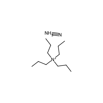 C#N.CCC[N+](CCC)(CCC)CCC.N